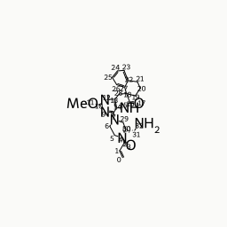 C=CC(=O)N1CCN(c2nc(OC)nc3c2NC(=O)C2(CCCc4ccccc42)C3)C[C@@H]1CN